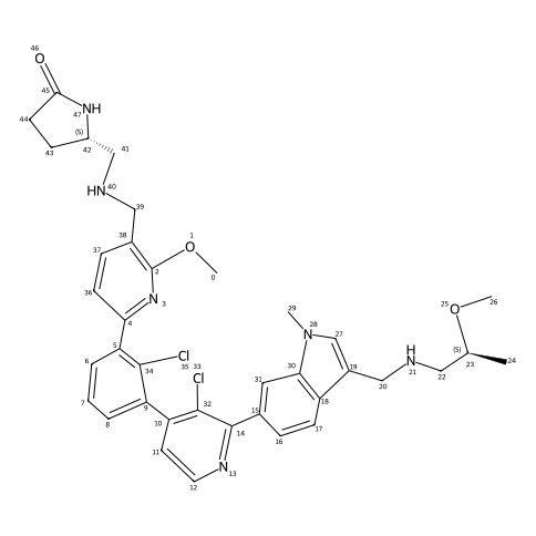 COc1nc(-c2cccc(-c3ccnc(-c4ccc5c(CNC[C@H](C)OC)cn(C)c5c4)c3Cl)c2Cl)ccc1CNC[C@@H]1CCC(=O)N1